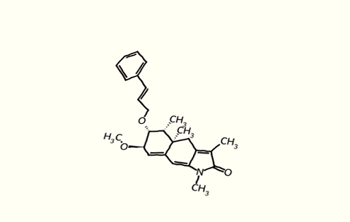 CO[C@@H]1C=C2C=C3C(=C(C)C(=O)N3C)C[C@]2(C)[C@@H](C)[C@H]1OCC=Cc1ccccc1